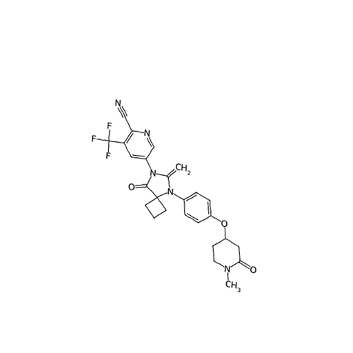 C=C1N(c2cnc(C#N)c(C(F)(F)F)c2)C(=O)C2(CCC2)N1c1ccc(OC2CCN(C)C(=O)C2)cc1